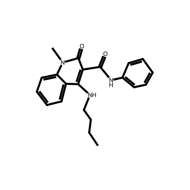 CCCCNc1c(C(=O)Nc2ccccc2)c(=O)n(C)c2ccccc12